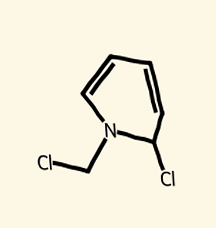 ClCN1C=CC=CC1Cl